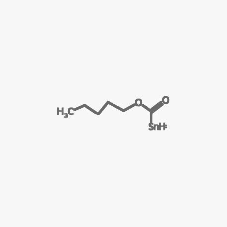 CCCCCO[C](=O)[SnH]